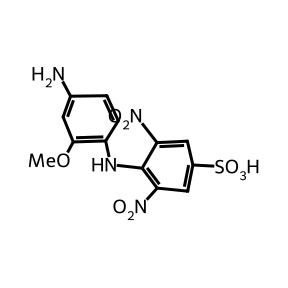 COc1cc(N)ccc1Nc1c([N+](=O)[O-])cc(S(=O)(=O)O)cc1[N+](=O)[O-]